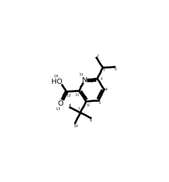 CC(C)c1ccc(C(C)(C)C)c(C(=O)O)n1